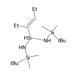 CC/C=C(\CC)[SiH](N[Si](C)(C)C(C)(C)C)N[Si](C)(C)C(C)(C)C